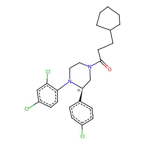 O=C(CCC1CCCCC1)N1CCN(c2ccc(Cl)cc2Cl)[C@H](c2ccc(Cl)cc2)C1